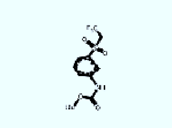 CC(C)(C)OC(=O)Nc1cccc(S(=O)(=O)CC(F)(F)F)c1